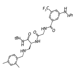 CCCNc1cc(C(=O)NCC(=O)N[C@@H](CNCc2ccc(C)cc2C)C(=O)NC(C)(C)C)cc(C(F)(F)F)c1